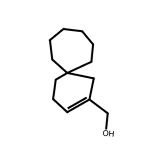 OCC1=CCCC2(CCCCCC2)C1